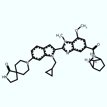 COc1cc(C(=O)N2CC3CCC2[C@@H]3N)cc2nc(-c3cc4ccc(N5CCC6(CCNC6=O)CC5)cc4n3CC3CC3)n(C)c12